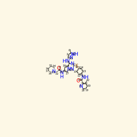 Cc1cc(Nc2nc(Sc3ccc(NC(=O)c4ncccc4C)cc3)nn3cc(NC(=O)CN4CCCCC4)cc23)n[nH]1